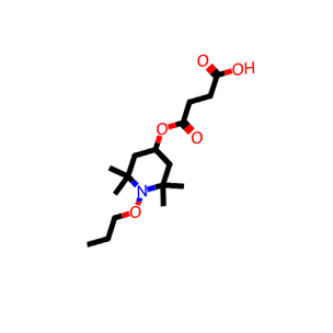 CCCON1C(C)(C)CC(OC(=O)CCC(=O)O)CC1(C)C